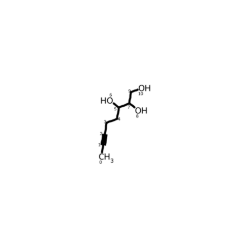 CC#CCCC(O)C(O)CO